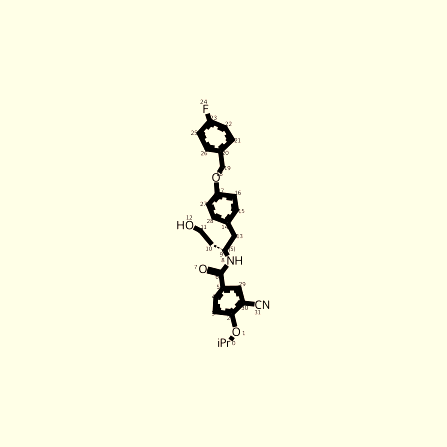 CC(C)Oc1ccc(C(=O)N[C@H](CCO)Cc2ccc(OCc3ccc(F)cc3)cc2)cc1C#N